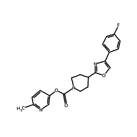 Cc1ccc(OC(=O)N2CCC(c3nc(-c4ccc(F)cc4)co3)CC2)cn1